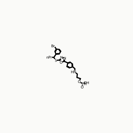 CCCC(Sc1nnc(-c2ccc(CNCCCO[PH](=O)O)cc2)o1)c1cccc(Br)c1